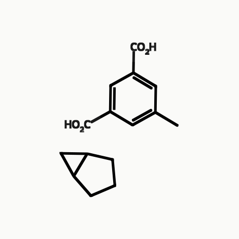 C1CC2CC2C1.Cc1cc(C(=O)O)cc(C(=O)O)c1